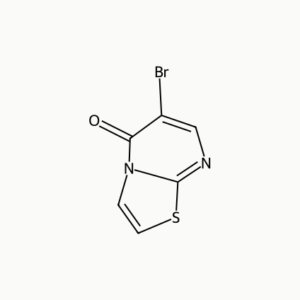 O=c1c(Br)cnc2sccn12